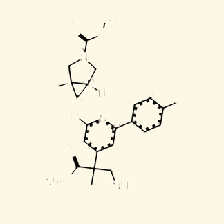 COC(=O)C(C)(CN)c1cc(O[C@@H]2[C@@H]3CN(C(=O)OC(C)(C)C)C[C@@H]32)nc(-c2ccc(F)cc2)c1